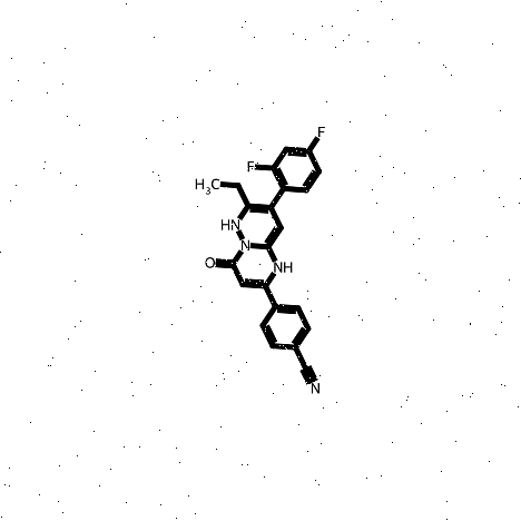 CCC1=C(c2ccc(F)cc2F)C=C2NC(c3ccc(C#N)cc3)=CC(=O)N2N1